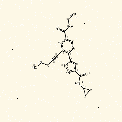 O=C(NCC(F)(F)F)c1ccc(-n2cc(C(=O)NC3CC3)nn2)c(C#CCCO)c1